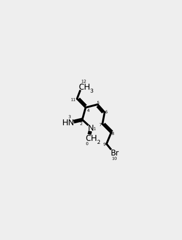 C=NC(=N)C(/C=C\C=C\CBr)=C/C